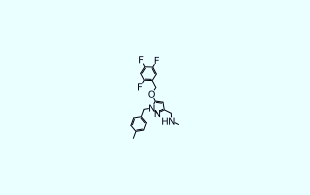 CNCc1cc(OCc2cc(F)c(F)cc2F)n(Cc2ccc(C)cc2)n1